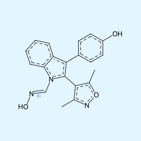 Cc1noc(C)c1-c1c(-c2ccc(O)cc2)c2ccccc2n1/C=N/O